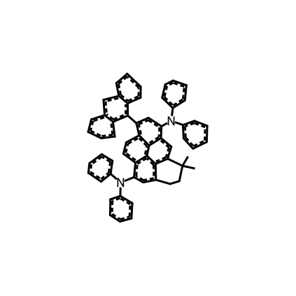 CC1(C)CCc2cc(N(c3ccccc3)c3ccccc3)c3ccc4c(-c5c6ccccc6cc6ccccc56)cc(N(c5ccccc5)c5ccccc5)c5cc1c2c3c45